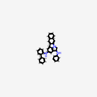 c1ccc(NC2Cn3c4cc5ccccc5cc4c4cc(Nc5ccccc5-c5ccccc5)cc2c43)cc1